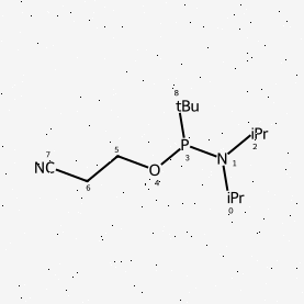 CC(C)N(C(C)C)P(OCCC#N)C(C)(C)C